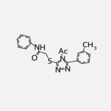 CC(=O)n1c(SCC(=O)Nc2ccccc2)nnc1-c1cccc(C)c1